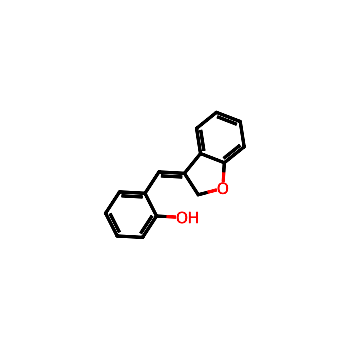 Oc1ccccc1C=C1COc2ccccc21